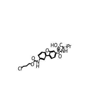 CC(C)[C@H](NS(=O)(=O)c1ccc2c(c1)oc1ccc(NC(=O)OCCCCl)cc12)C(=O)O